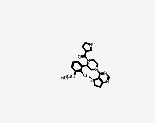 C[C@@H]1CCc2ncnc(N3CCN(C(=O)C4CCNC4)C(c4cccc(Cl)c4Cl)C3)c21.Cl.Cl